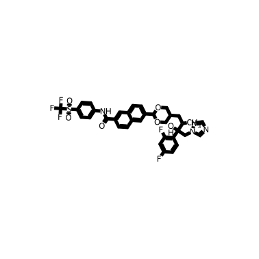 CC(CC1COC(c2ccc3cc(C(=O)Nc4ccc(S(=O)(=O)C(F)(F)F)cc4)ccc3c2)OC1)C(O)(Cn1cncn1)c1ccc(F)cc1F